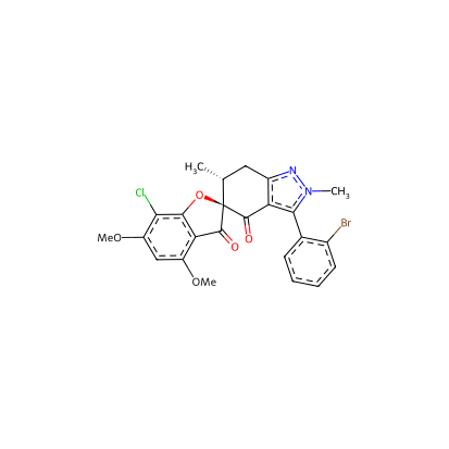 COc1cc(OC)c2c(c1Cl)O[C@]1(C2=O)C(=O)c2c(nn(C)c2-c2ccccc2Br)C[C@H]1C